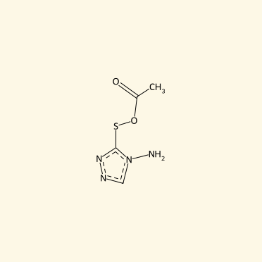 CC(=O)OSc1nncn1N